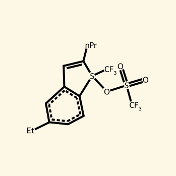 CCCC1=Cc2cc(CC)ccc2S1(OS(=O)(=O)C(F)(F)F)C(F)(F)F